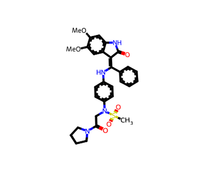 COc1cc2c(cc1OC)C(=C(Nc1ccc(N(CC(=O)N3CCCC3)S(C)(=O)=O)cc1)c1ccccc1)C(=O)N2